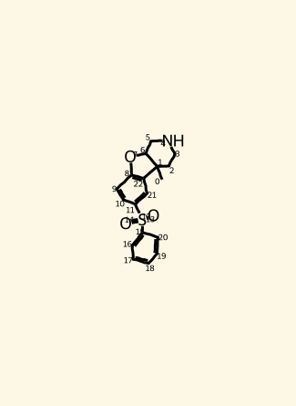 CC12CCNCC1Oc1ccc(S(=O)(=O)c3ccccc3)cc12